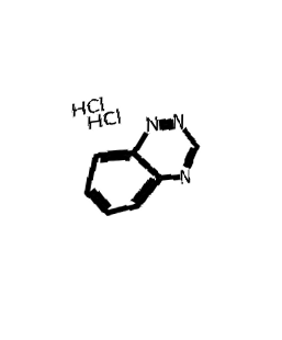 Cl.Cl.c1ccc2nncnc2c1